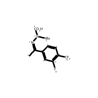 C/C(=N/N(C(=O)O)C(C)(C)C)c1ccc(C(F)(F)F)c(F)c1